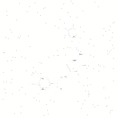 CC1C(/C=C/C(c2cc(Cl)c(Cl)c(Cl)c2)C(F)(F)F)=CC=C(C(=O)NCc2cnc(Cl)s2)C1C